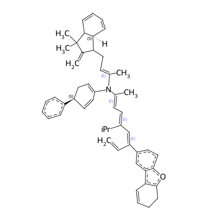 C=C\C(=C/C(=C/C=C(\C)N(C1=CC[C@H](c2ccccc2)C=C1)/C(C)=C/CC1C(=C)C(C)(C)C2C=CC=C[C@@H]12)C(C)C)c1ccc2oc3c(c2c1)C=CCC3